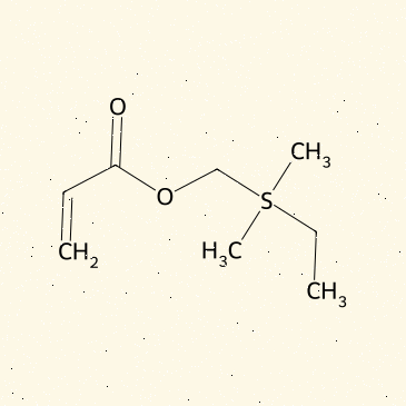 C=CC(=O)OCS(C)(C)CC